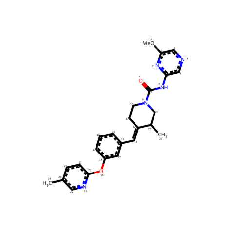 COc1cncc(NC(=O)N2CCC(=Cc3cccc(Oc4ccc(C)cn4)c3)C(C)C2)n1